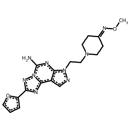 CON=C1CCN(CCn2ncc3c2nc(N)n2nc(-c4ccco4)nc32)CC1